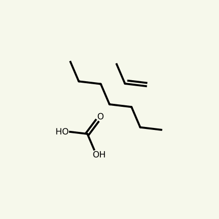 C=CC.CCCCCCC.O=C(O)O